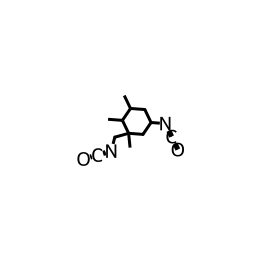 CC1CC(N=C=O)CC(C)(CN=C=O)C1C